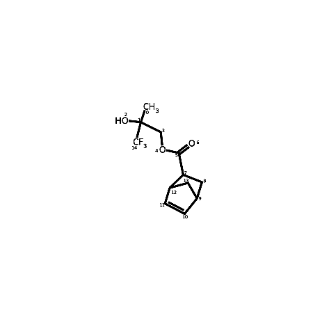 CC(O)(COC(=O)C1CC2C=CC1C2)C(F)(F)F